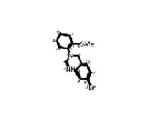 CSC1=C(N(C=N)Cc2ccc(Br)cc2)CCCC1